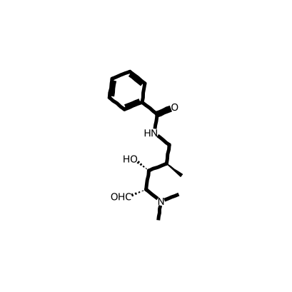 C[C@H](CNC(=O)c1ccccc1)[C@@H](O)[C@@H](C=O)N(C)C